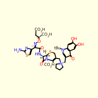 CC(C)(C)n1cc(C[N+]2(CC3=C(C(=O)O)N4C(=O)[C@@H](NC(=O)/C(=N\O[C@@H](CC(=O)O)C(=O)O)c5csc(N)n5)[C@H]4SC3)CCCC2)c(=O)c2cc(O)c(O)cc21